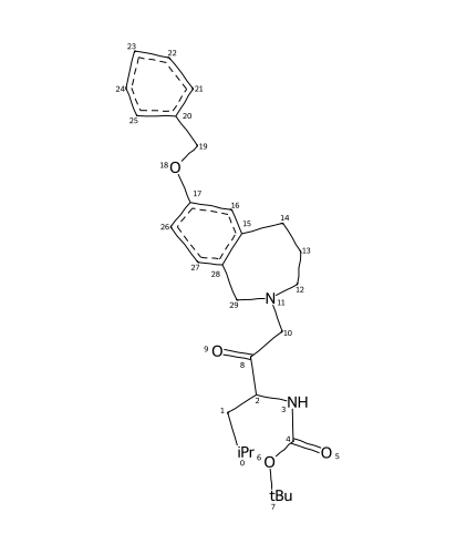 CC(C)CC(NC(=O)OC(C)(C)C)C(=O)CN1CCCc2cc(OCc3ccccc3)ccc2C1